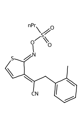 CCCS(=O)(=O)ON=C1SC=CC1=C(C#N)Cc1ccccc1C